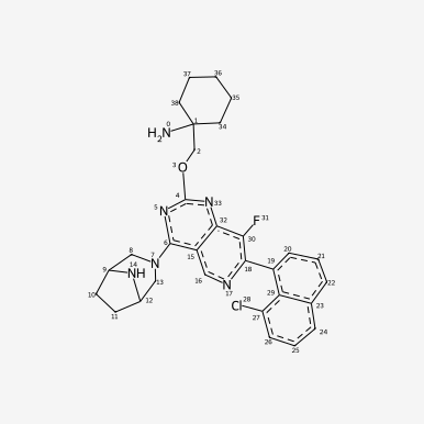 NC1(COc2nc(N3CC4CCC(C3)N4)c3cnc(-c4cccc5cccc(Cl)c45)c(F)c3n2)CCCCC1